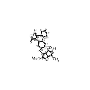 COc1nc2c(C)sc(C(=O)O)c2n1Cc1ccc(-c2ccccc2-c2nc(=S)o[nH]2)cc1